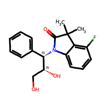 CC1(C)C(=O)N([C@@H](c2ccccc2)[C@H](O)CO)c2cccc(F)c21